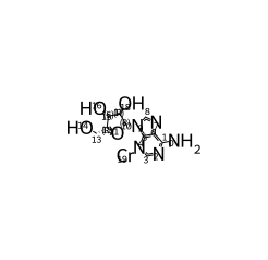 Nc1ncnc2c1ncn2[C@@H]1O[C@H](CO)[C@@H](O)[C@H]1O.[Cr]